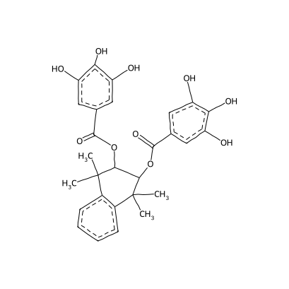 CC1(C)c2ccccc2C(C)(C)C(OC(=O)c2cc(O)c(O)c(O)c2)C1OC(=O)c1cc(O)c(O)c(O)c1